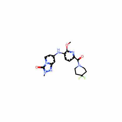 COc1nc(C(=O)N2CCC(F)(F)CC2)ccc1Nc1ccn2c(=O)n(C)nc2c1